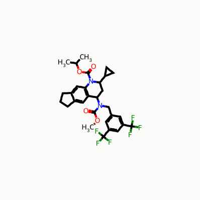 COC(=O)N(Cc1cc(C(F)(F)F)cc(C(F)(F)F)c1)C1CC(C2CC2)N(C(=O)OC(C)C)c2cc3c(cc21)CCC3